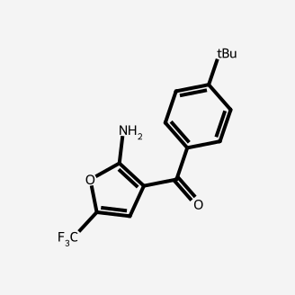 CC(C)(C)c1ccc(C(=O)c2cc(C(F)(F)F)oc2N)cc1